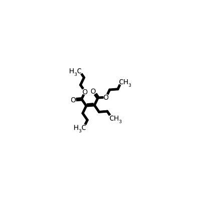 CCCOC(=O)C(CCC)=C(CCC)C(=O)OCCC